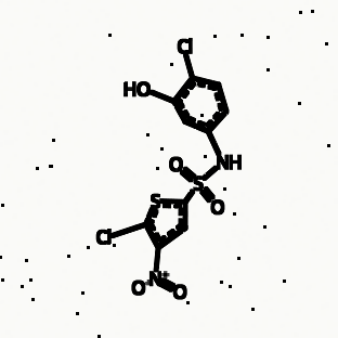 O=[N+]([O-])c1cc(S(=O)(=O)Nc2ccc(Cl)c(O)c2)sc1Cl